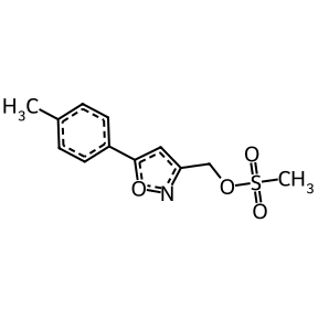 Cc1ccc(-c2cc(COS(C)(=O)=O)no2)cc1